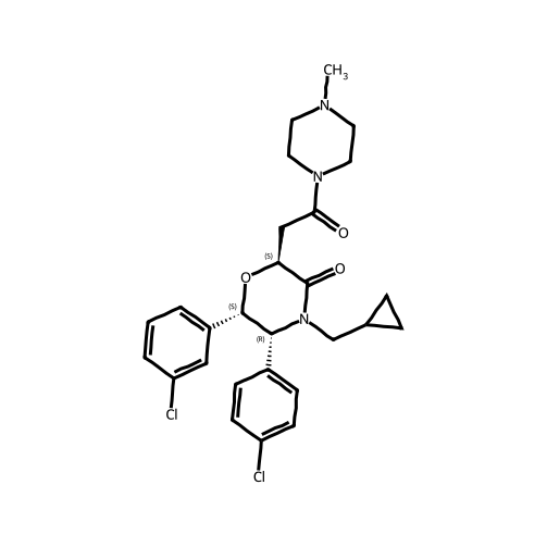 CN1CCN(C(=O)C[C@@H]2O[C@@H](c3cccc(Cl)c3)[C@@H](c3ccc(Cl)cc3)N(CC3CC3)C2=O)CC1